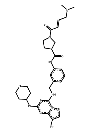 CC(C)c1cnn2c(NCc3cccc(NC(=O)C4CCN(C(=O)/C=C/CN(C)C)C4)c3)nc(NC3CCOCC3)nc12